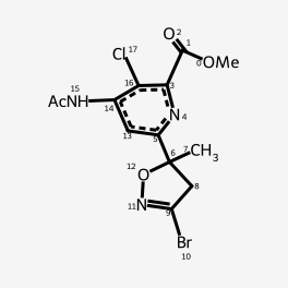 COC(=O)c1nc(C2(C)CC(Br)=NO2)cc(NC(C)=O)c1Cl